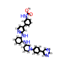 COC(=O)Nc1cccc(-c2ccnc(N[C@@H]3CCCC[C@H]3N[C@H]3CCCN(c4ccc(-c5cncnc5)cc4)C3)c2)c1